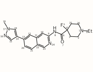 CCN1CCC(F)(C(=O)Nc2cc3cc(-c4cnn(C)c4)ccc3cn2)CC1